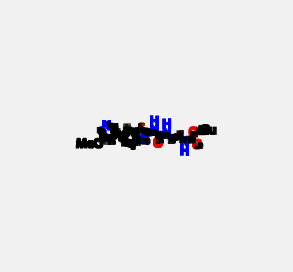 COc1cncc(-c2ccc3nc(NC(=O)NCCNC(=O)OC(C)(C)C)sc3c2)c1